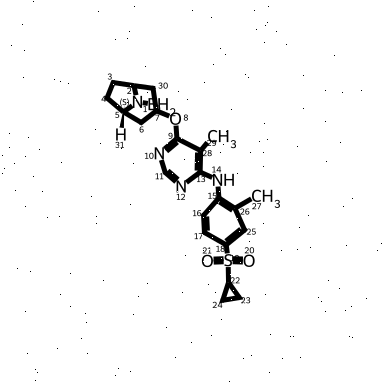 BN1C2CC[C@H]1CC(Oc1ncnc(Nc3ccc(S(=O)(=O)C4CC4)cc3C)c1C)C2